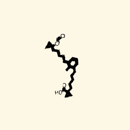 Cc1c(CCCCCC2(OC=O)CC2)cccc1CCCCCC1(C(=O)O)CC1